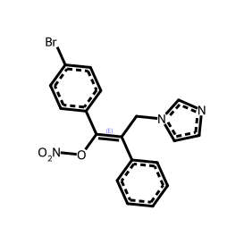 O=[N+]([O-])O/C(=C(/Cn1ccnc1)c1ccccc1)c1ccc(Br)cc1